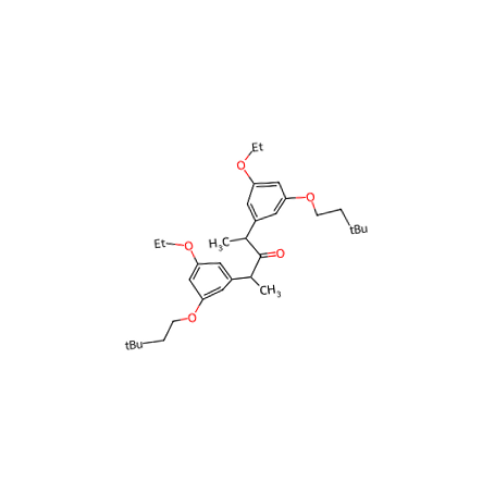 CCOc1cc(OCCC(C)(C)C)cc(C(C)C(=O)C(C)c2cc(OCC)cc(OCCC(C)(C)C)c2)c1